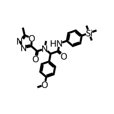 COc1ccc(C(C(=O)Nc2ccc([Si](C)(C)C)cc2)N(C)C(=O)c2nnc(C)o2)cc1